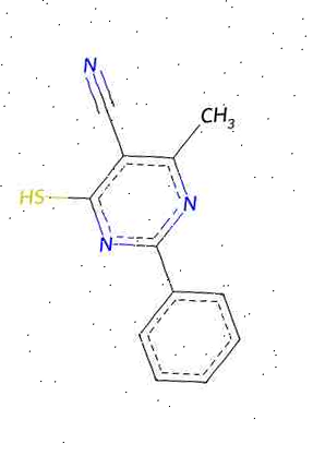 Cc1nc(-c2ccccc2)nc(S)c1C#N